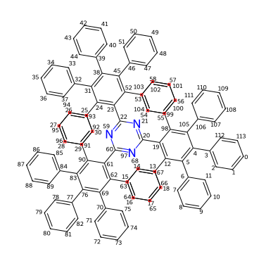 c1ccc(-c2c(-c3ccccc3)c(-c3ccccc3)c(-c3nc(-c4c(-c5ccccc5)c(-c5ccccc5)c(-c5ccccc5)c(-c5ccccc5)c4-c4ccccc4)nc(-c4c(-c5ccccc5)c(-c5ccccc5)c(-c5ccccc5)c(-c5ccccc5)c4-c4ccccc4)n3)c(-c3ccccc3)c2-c2ccccc2)cc1